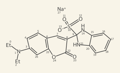 CCN(CC)c1ccc2cc(C3(S(=O)(=O)[O-])Nc4ccccc4N3)c(=O)oc2c1.[Na+]